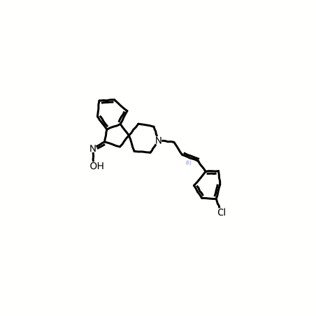 ON=C1CC2(CCN(C/C=C/c3ccc(Cl)cc3)CC2)c2ccccc21